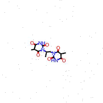 CC1C(=O)NC(=O)N(CC(C)N2C(=O)NC(=O)C(C)C2=O)C1=O